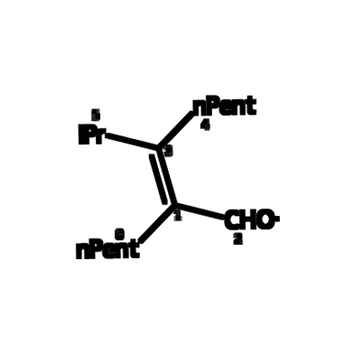 CCCCCC([C]=O)=C(CCCCC)C(C)C